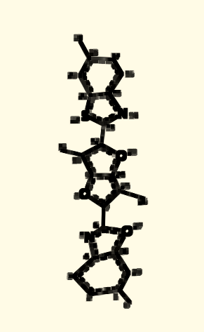 Cc1ccc2nc(-c3oc4c(C)c(-c5nc6ccc(C)cc6s5)oc4c3C)oc2c1